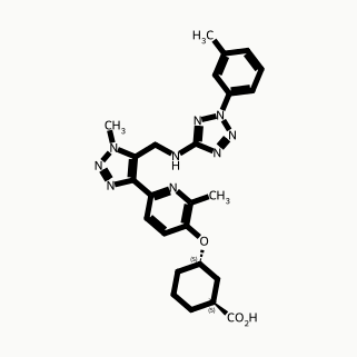 Cc1cccc(-n2nnc(NCc3c(-c4ccc(O[C@H]5CCC[C@H](C(=O)O)C5)c(C)n4)nnn3C)n2)c1